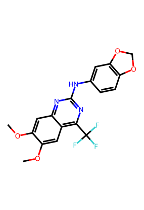 COc1cc2nc(Nc3ccc4c(c3)OCO4)nc(C(F)(F)F)c2cc1OC